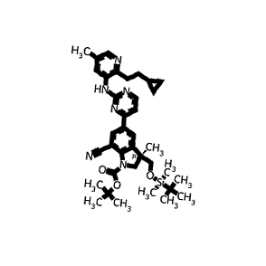 Cc1cnc(CCC2CC2)c(Nc2nccc(-c3cc(C#N)c4c(c3)[C@@](C)(CO[Si](C)(C)C(C)(C)C)CN4C(=O)OC(C)(C)C)n2)c1